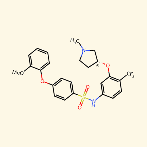 COc1ccccc1Oc1ccc(S(=O)(=O)Nc2ccc(C(F)(F)F)c(O[C@@H]3CCN(C)C3)c2)cc1